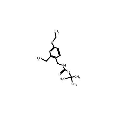 CCSc1ccc(CNC(=O)OC(C)(C)C)c(CC)c1